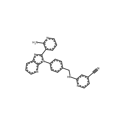 N#Cc1ccnc(NCc2ccc(-n3c(-c4cccnc4N)nc4cccnc43)cc2)c1